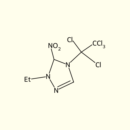 CCN1N=CN(C(Cl)(Cl)C(Cl)(Cl)Cl)C1[N+](=O)[O-]